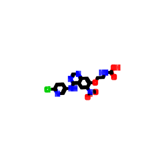 O=C(O)NCCOc1cc2ncnc(Nc3ccc(Cl)nc3)c2cc1[N+](=O)[O-]